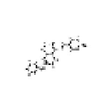 Clc1ccc(C=CC2=NCCc3cc(Oc4ccccc4)ccc32)cc1